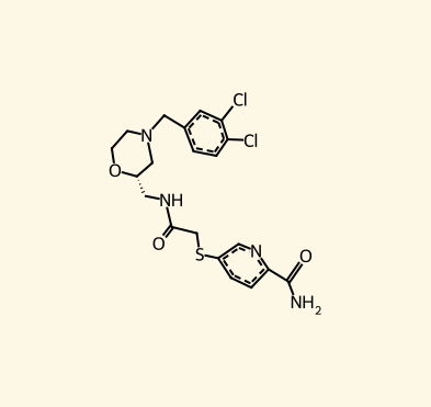 NC(=O)c1ccc(SCC(=O)NC[C@H]2CN(Cc3ccc(Cl)c(Cl)c3)CCO2)cn1